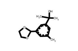 Cc1cc(C2OCCO2)cc(C(C)(C)O)c1